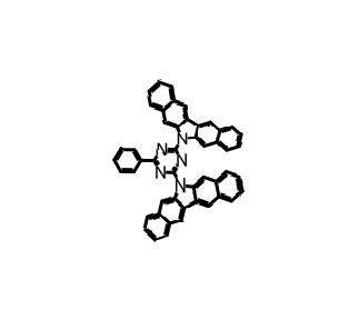 c1ccc(-c2nc(-n3c4cc5ccccc5cc4c4cc5ccccc5cc43)nc(-n3c4cc5ccccc5cc4c4cc5ccccc5cc43)n2)cc1